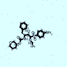 CC(C)CNC([C@@H](O)[C@H](Cc1ccccc1)NC(=O)O[C@H]1CCCOC1)S(=O)(=O)c1ccc(N)cc1